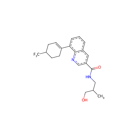 CC(CO)CNC(=O)c1cnc2c(C3=CCC(C(F)(F)F)CC3)cccc2c1